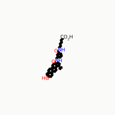 C=C(C)[C@@H]1CC[C@]2(C(=O)NCc3cccc(C(=O)NCCCCCCC(=O)O)c3)CC[C@]3(C)C(CCC4[C@@]5(C)CC[C@H](O)C(C)(C)C5CC[C@]43C)C12